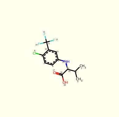 CC(C)[C@H](Nc1ccc(Cl)c(C(F)(F)F)c1)C(=O)O